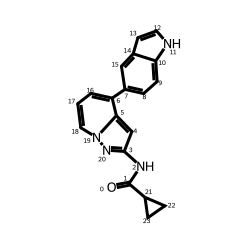 O=C(Nc1cc2c(-c3ccc4[nH]ccc4c3)cccn2n1)C1CC1